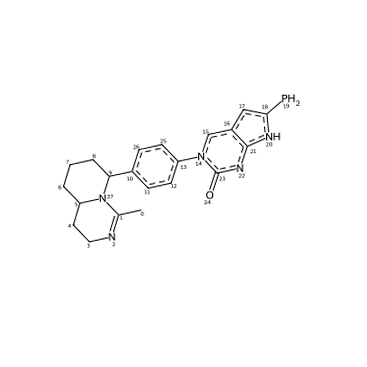 CC1=NCCC2CCCC(c3ccc(-n4cc5cc(P)[nH]c5nc4=O)cc3)N12